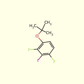 CC(C)(C)Oc1ccc(F)c(I)c1F